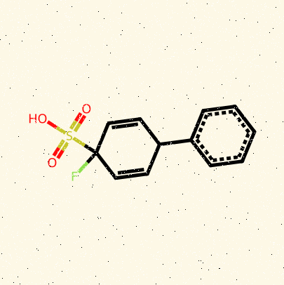 O=S(=O)(O)C1(F)C=CC(c2ccccc2)C=C1